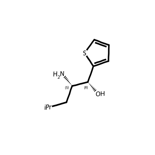 CC(C)C[C@H](N)[C@@H](O)c1cccs1